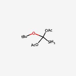 CC(=O)OC([SiH3])(OC(C)=O)OC(C)(C)C